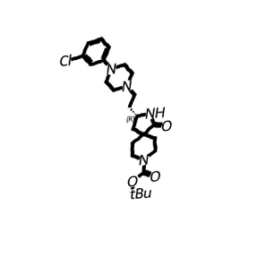 CC(C)(C)OC(=O)N1CCC2(CC1)C[C@H](CCN1CCN(c3cccc(Cl)c3)CC1)NC2=O